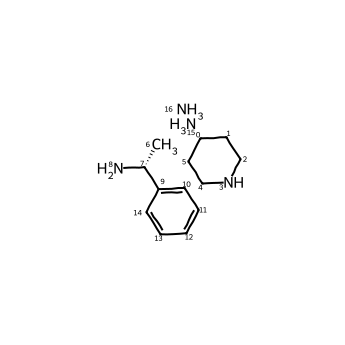 C1CCNCC1.C[C@@H](N)c1ccccc1.N.N